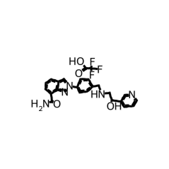 NC(=O)c1cccc2cn(-c3ccc(CNCC(O)c4cccnc4)cc3)nc12.O=C(O)C(F)(F)F